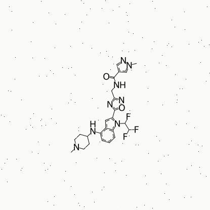 CN1CCC(Nc2cccc3c2cc(-c2nc(CNC(=O)c4cnn(C)c4)no2)n3C(F)C(F)F)CC1